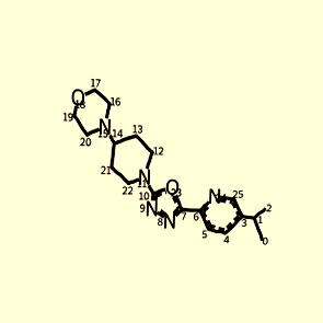 CC(C)c1ccc(-c2nnc(N3CCC(N4CCOCC4)CC3)o2)nc1